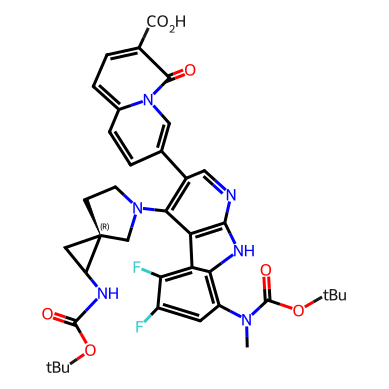 CN(C(=O)OC(C)(C)C)c1cc(F)c(F)c2c1[nH]c1ncc(-c3ccc4ccc(C(=O)O)c(=O)n4c3)c(N3CC[C@@]4(CC4NC(=O)OC(C)(C)C)C3)c12